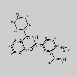 CC(=N)c1cc(C(=O)NC(c2ccccc2)C2CCOCC2)ccc1N